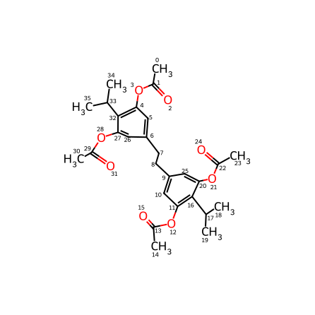 CC(=O)Oc1cc(CCc2cc(OC(C)=O)c(C(C)C)c(OC(C)=O)c2)cc(OC(C)=O)c1C(C)C